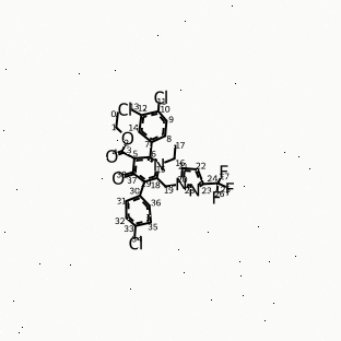 CCOC(=O)c1c(-c2ccc(Cl)c(Cl)c2)n(CC)c(Cn2ccc(C(F)(F)F)n2)c(-c2ccc(Cl)cc2)c1=O